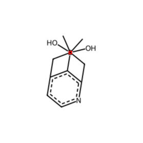 CC1(C)Cc2ccnc(c2B(O)O)C1